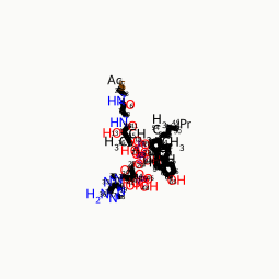 CC(=O)SCCNC(=O)CCNC(=O)C(O)C(C)(C)COP(=O)(O)OP(=O)(O)OC[C@H]1O[C@@H](n2cnc3c(N)ncnc32)[C@H](O)[C@@H]1OP(=O)(O)O.CC(C)CCCC(C)[C@H]1CC[C@H]2[C@@H]3CC=C4C[C@@H](O)CC[C@]4(C)[C@H]3CC[C@]12C